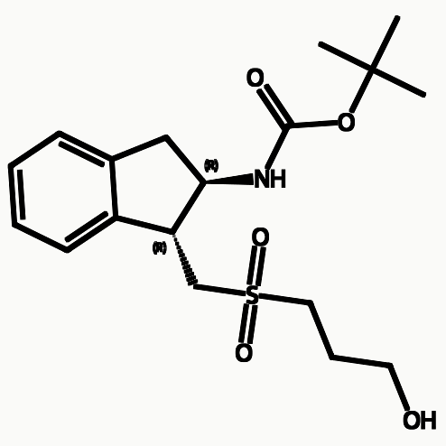 CC(C)(C)OC(=O)N[C@@H]1Cc2ccccc2[C@H]1CS(=O)(=O)CCCO